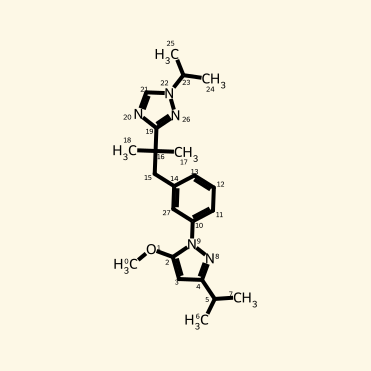 COc1cc(C(C)C)nn1-c1cccc(CC(C)(C)c2ncn(C(C)C)n2)c1